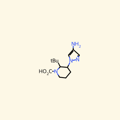 CC(C)(C)C1C(n2cc(N)cn2)CCCN1C(=O)O